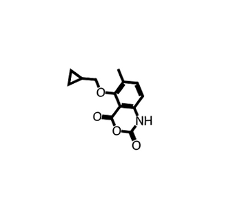 Cc1ccc2[nH]c(=O)oc(=O)c2c1OCC1CC1